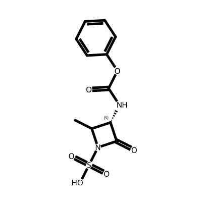 CC1[C@H](NC(=O)Oc2ccccc2)C(=O)N1S(=O)(=O)O